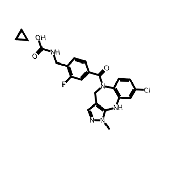 C1CC1.Cn1ncc2c1Nc1cc(Cl)ccc1N(C(=O)c1ccc(CNC(=O)O)c(F)c1)C2